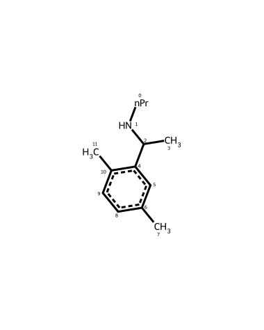 CCCNC(C)c1cc(C)ccc1C